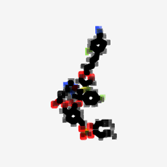 C=CCOP(=O)(OCC=C)OCc1ccc(COC(C)=O)c(C(=O)OC(Cn2cncn2)(c2ccc(F)cc2F)C(C)SC2COC(C=CC=Cc3ccc(C#N)cc3F)OC2)c1